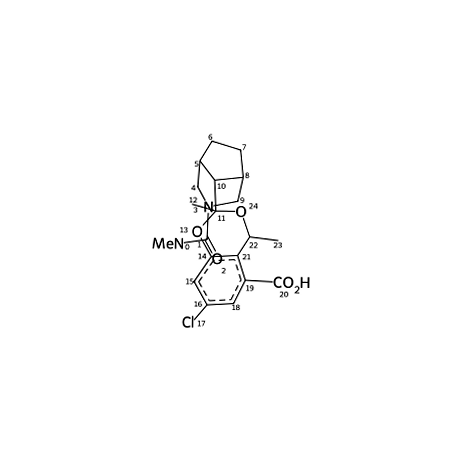 CNC(=O)N1CC2CCC(C1)C2C1(C)Oc2cc(Cl)cc(C(=O)O)c2C(C)O1